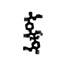 CC(C)Oc1cc(C(F)(F)C(N)C(O)N2CCC(NC(=O)OC(C)(C)C)CC2)ccc1Cl